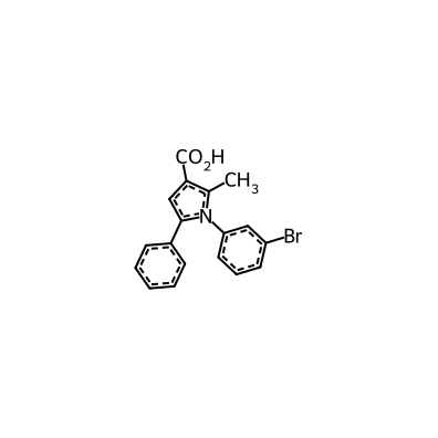 Cc1c(C(=O)O)cc(-c2ccccc2)n1-c1cccc(Br)c1